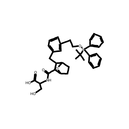 CC(C)(C)[Si](OCCc1cccc(CC2C3CCC(O3)C2C(=O)NC(CO)C(=O)O)c1)(c1ccccc1)c1ccccc1